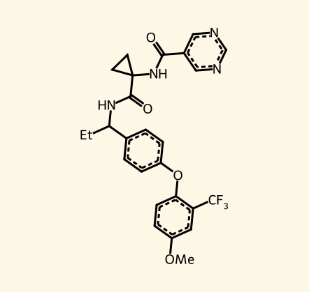 CCC(NC(=O)C1(NC(=O)c2cncnc2)CC1)c1ccc(Oc2ccc(OC)cc2C(F)(F)F)cc1